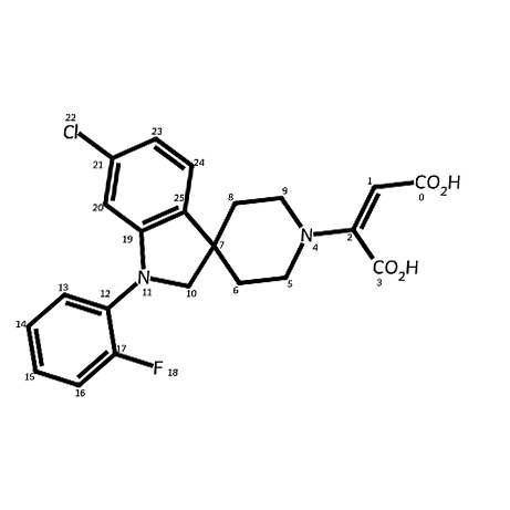 O=C(O)C=C(C(=O)O)N1CCC2(CC1)CN(c1ccccc1F)c1cc(Cl)ccc12